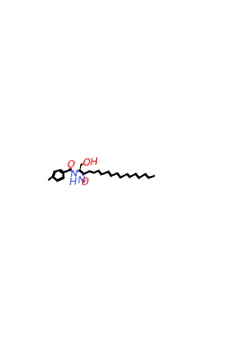 CCCCCCCCCCCCCCCC(N=O)[C@H](CO)NC(=O)c1ccc(C)cc1